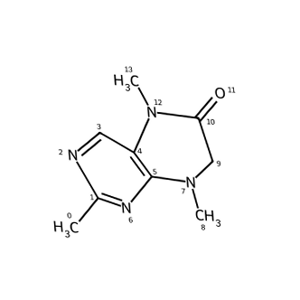 Cc1ncc2c(n1)N(C)CC(=O)N2C